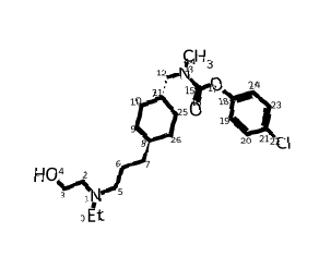 CCN(CCO)CCC[C@H]1CC[C@H](CN(C)C(=O)Oc2ccc(Cl)cc2)CC1